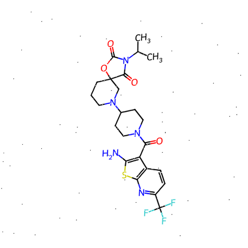 CC(C)N1C(=O)OC2(CCCN(C3CCN(C(=O)c4c(N)sc5nc(C(F)(F)F)ccc45)CC3)C2)C1=O